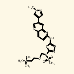 Cn1cc(-c2cnc3ccc(Nc4nnc(N(COCC[Si](C)(C)C)S(C)(=O)=O)s4)nc3c2)cn1